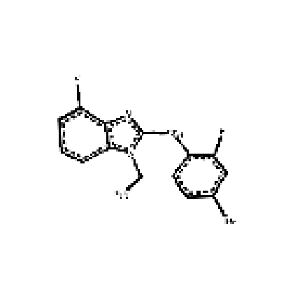 [2H]Cn1c(Nc2ccc(Br)cc2F)nc2c(F)cccc21